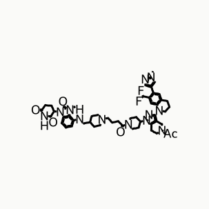 CC(=O)N1CCc2c(c(N3CCCc4cc(-c5cnn(C)c5)c(C(F)F)cc43)nn2C2CCN(C(=O)CCCN3CCC(CNc4cccc5c4n(C)c(=O)n5C4CCC(=O)NC4=O)CC3)CC2)C1